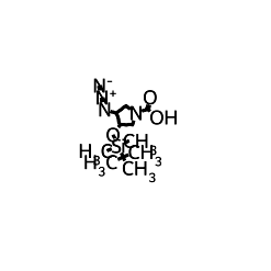 CC(C)(C)[Si](C)(C)OC1CN(C(=O)O)CC1N=[N+]=[N-]